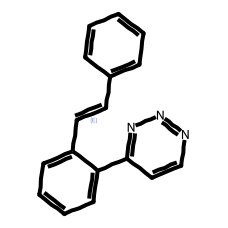 C(=C\c1ccccc1-c1ccnnn1)/c1ccccc1